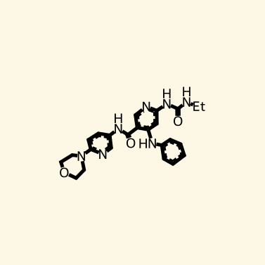 CCNC(=O)Nc1cc(Nc2ccccc2)c(C(=O)Nc2ccc(N3CCOCC3)nc2)cn1